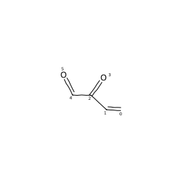 C=CC(=O)C=O